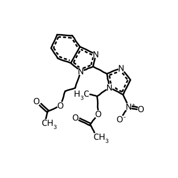 CC(=O)OCCn1c(-c2ncc([N+](=O)[O-])n2C(C)OC(C)=O)nc2ccccc21